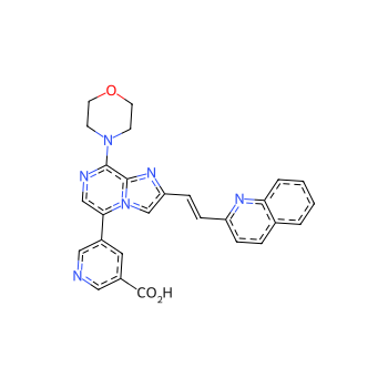 O=C(O)c1cncc(-c2cnc(N3CCOCC3)c3nc(C=Cc4ccc5ccccc5n4)cn23)c1